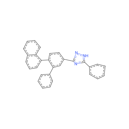 c1ccc(-c2nc(-c3ccc(-c4cccc5ccccc45)c(-c4ccccc4)c3)n[nH]2)cc1